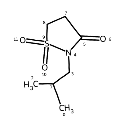 CC(C)CN1C(=O)CCS1(=O)=O